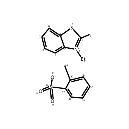 CC[n+]1c(C)sc2ccccc21.Cc1ccccc1S(=O)(=O)[O-]